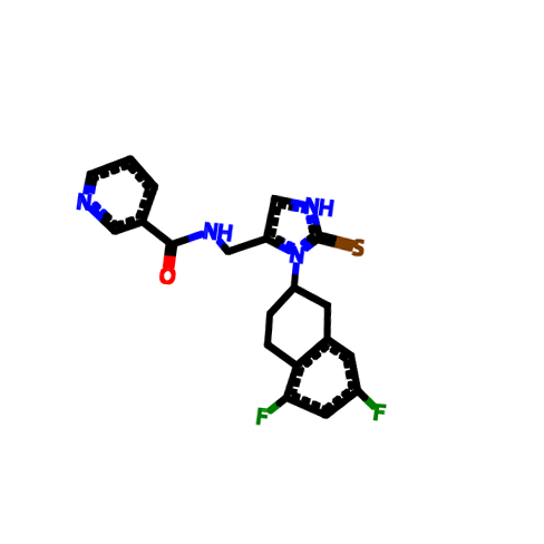 O=C(NCc1c[nH]c(=S)n1C1CCc2c(F)cc(F)cc2C1)c1cccnc1